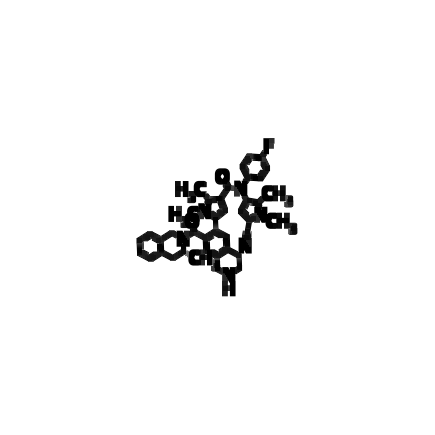 Cc1c(N(C(=O)c2cc(-c3cc4c(cc3C(=O)N3Cc5ccccc5C[C@H]3C)CNCC4)n(C)c2C)c2ccc(F)cc2)cc(C#N)n1C